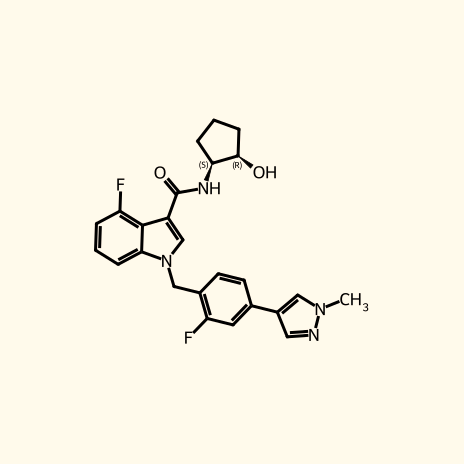 Cn1cc(-c2ccc(Cn3cc(C(=O)N[C@H]4CCC[C@H]4O)c4c(F)cccc43)c(F)c2)cn1